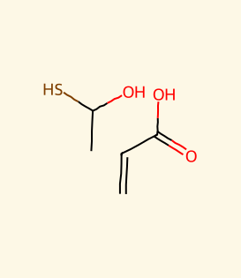 C=CC(=O)O.CC(O)S